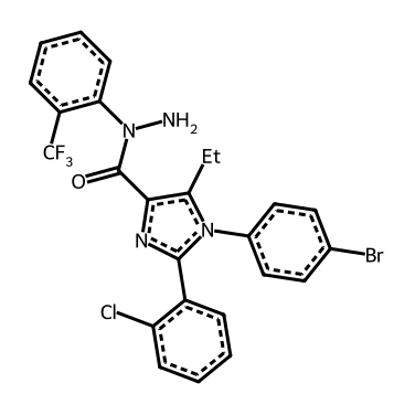 CCc1c(C(=O)N(N)c2ccccc2C(F)(F)F)nc(-c2ccccc2Cl)n1-c1ccc(Br)cc1